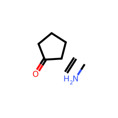 C=C.CN.O=C1CCCC1